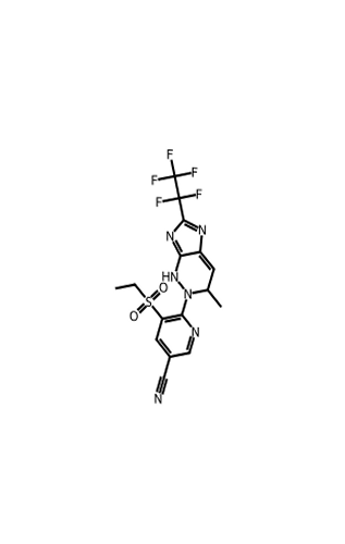 CCS(=O)(=O)c1cc(C#N)cnc1N1NC2=NC(C(F)(F)C(F)(F)F)=NC2=CC1C